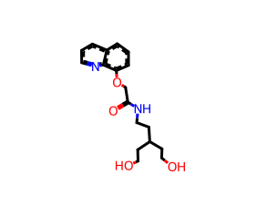 O=C(COc1cccc2cccnc12)NCCC(CCO)CCO